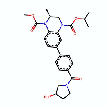 COC(=O)N1c2ccc(-c3ccc(C(=O)N4CC[C@@H](O)C4)cc3)cc2N(C(=O)OC(C)C)C[C@@H]1C